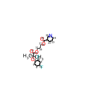 CC(C)(Oc1ccc(F)cc1F)C(=O)OCCCOC(=O)c1cccnc1